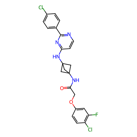 O=C(COc1ccc(Cl)c(F)c1)NC12CC(Nc3ccnc(-c4ccc(Cl)cc4)n3)(C1)C2